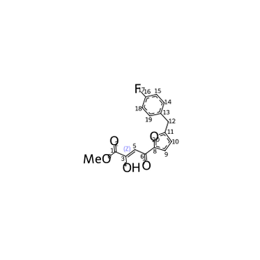 COC(=O)/C(O)=C/C(=O)c1ccc(Cc2ccc(F)cc2)o1